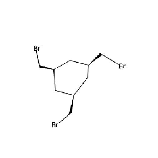 BrC[C@H]1C[C@@H](CBr)C[C@@H](CBr)C1